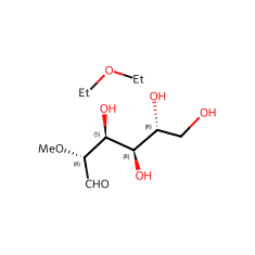 CCOCC.CO[C@@H](C=O)[C@@H](O)[C@H](O)[C@H](O)CO